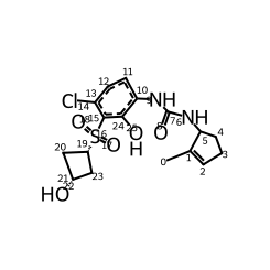 CC1=CCCC1NC(=O)Nc1ccc(Cl)c(S(=O)(=O)[C@H]2C[C@@H](O)C2)c1O